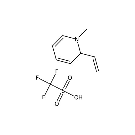 C=CC1C=CC=CN1C.O=S(=O)(O)C(F)(F)F